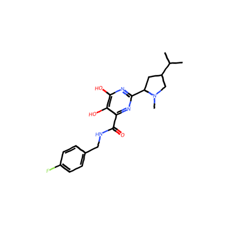 CC(C)C1CC(c2nc(O)c(O)c(C(=O)NCc3ccc(F)cc3)n2)N(C)C1